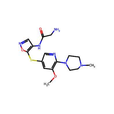 COc1cc(Sc2oncc2NC(=O)CN)cnc1N1CCN(C)CC1